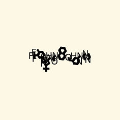 Cc1ccc(N2N=C(C(C)(C)C)CC2NC(=O)Nc2ccc(OCc3ccnc(Nc4cnccn4)c3)c3ccccc23)cc1C(F)(F)F